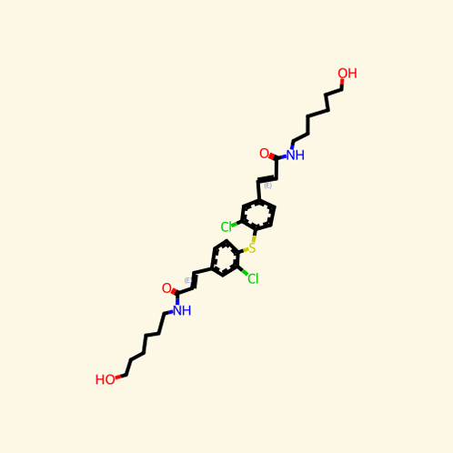 O=C(/C=C/c1ccc(Sc2ccc(/C=C/C(=O)NCCCCCCO)cc2Cl)c(Cl)c1)NCCCCCCO